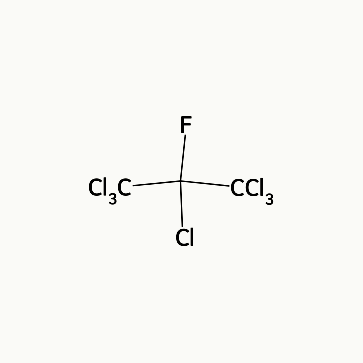 FC(Cl)(C(Cl)(Cl)Cl)C(Cl)(Cl)Cl